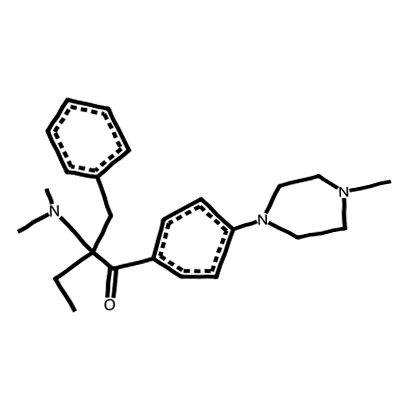 CCC(Cc1ccccc1)(C(=O)c1ccc(N2CCN(C)CC2)cc1)N(C)C